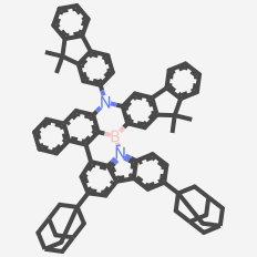 CC1(C)c2ccccc2-c2ccc(N3c4cc5c(cc4B4c6c3cc3ccccc3c6-c3cc(C67CC8CC(CC(C8)C6)C7)cc6c7cc(C89CC%10CC(CC(C%10)C8)C9)ccc7n4c36)C(C)(C)c3ccccc3-5)cc21